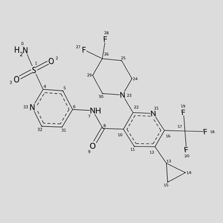 NS(=O)(=O)c1cc(NC(=O)c2cc(C3CC3)c(C(F)(F)F)nc2N2CCC(F)(F)CC2)ccn1